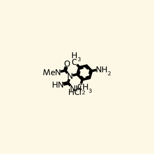 CNC(=O)N(C(=N)N)c1c(C)cc(N)cc1C.Cl